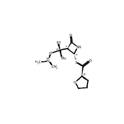 CC[C@@](O[SiH](C)C)([C@H]1C(=O)N[C@@H]1SC(=O)[C@H]1CCCO1)C(C)(C)C